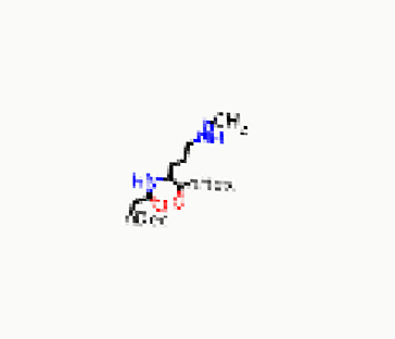 C=NNCCCC(NC(=O)CCCCCCCCCCC)C(=O)CCCCCC